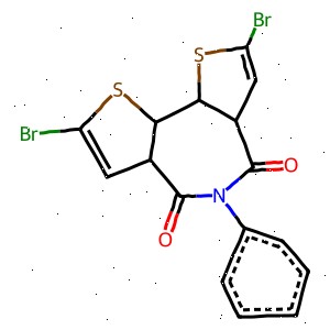 O=C1C2C=C(Br)SC2C2SC(Br)=CC2C(=O)N1c1ccccc1